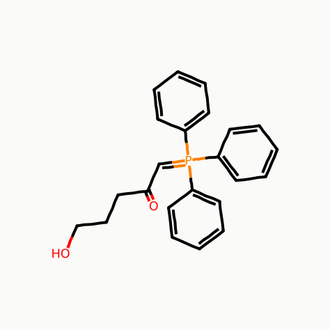 O=C(C=P(c1ccccc1)(c1ccccc1)c1ccccc1)CCCO